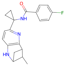 CC1C2CC1c1nc(C3(NC(=O)c4ccc(F)cc4)CC3)ccc1N2